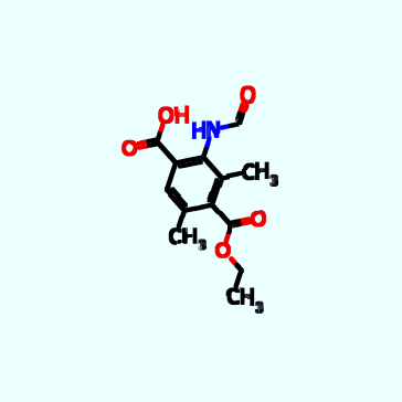 CCOC(=O)c1c(C)cc(C(=O)O)c(NC=O)c1C